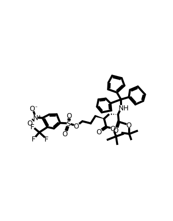 CC(C)(C)OC(=O)[C@@H](CCCOS(=O)(=O)c1ccc([N+](=O)[O-])c(C(F)(F)F)c1)C[C@H](NC(c1ccccc1)(c1ccccc1)c1ccccc1)C(=O)OC(C)(C)C